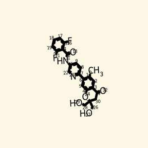 Cc1cc2c(cc1-c1ccc(NC(=O)c3c(F)cccc3F)cn1)OC(CO)(CO)CC2=O